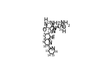 NC(=O)c1c(-c2ccc3ccc(-c4ccccn4)nc3c2F)nn([C@H]2C[C@@](N)(O)C2)c1N